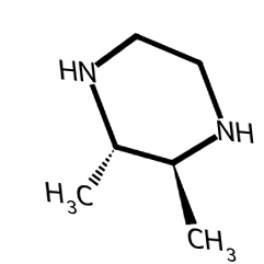 C[C@@H]1NCCN[C@H]1C